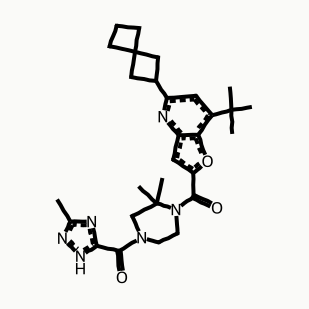 Cc1n[nH]c(C(=O)N2CCN(C(=O)c3cc4nc(C5CC6(CCC6)C5)cc(C(C)(C)C)c4o3)C(C)(C)C2)n1